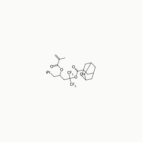 C=C(C)C(=O)OC(CC(C)C)CC(OC(=O)C12CC3CC(C1)C(=O)C(C3)C2)(C(F)(F)F)C(F)(F)F